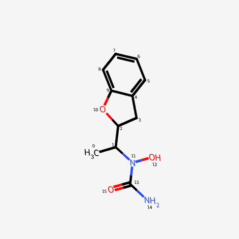 CC(C1Cc2ccccc2O1)N(O)C(N)=O